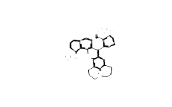 COC(=O)c1ccccc1C1=c2cc3c4c(c2Oc2c1ccc1cccc(OC)c21)CCC[N+]=4CCC3